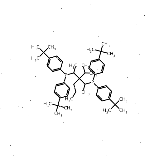 CCCC(C(C)C)(C(C)P(c1ccc(C(C)(C)C)cc1)c1ccc(C(C)(C)C)cc1)C(C)P(c1ccc(C(C)(C)C)cc1)c1ccc(C(C)(C)C)cc1